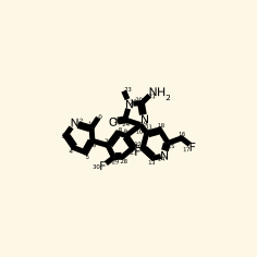 Cc1ncccc1-c1cc(C2(c3ccnc(CF)c3)N=C(N)N(C)C2=O)c(F)cc1F